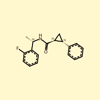 C[C@H](NC(=O)[C@H]1C[C@@H]1c1ccccc1)c1ccccc1F